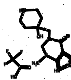 CN1CN(CC2(O)CCNCC2)C(=O)c2cn[nH]c21.O=C(O)C(F)(F)F